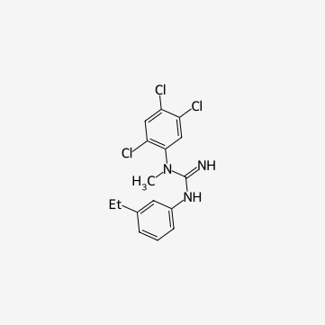 CCc1cccc(NC(=N)N(C)c2cc(Cl)c(Cl)cc2Cl)c1